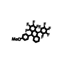 COc1ccc(-c2c3ccccc3c(-c3c(F)c(F)c(F)c(F)c3F)c3c(F)c(F)c(F)c(F)c23)cc1